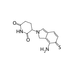 NC1=C2CN(C3CCC(=O)NC3=O)C=C2C=CC1=S